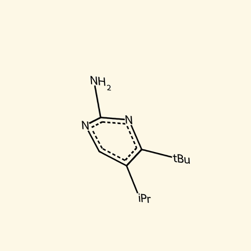 CC(C)c1cnc(N)nc1C(C)(C)C